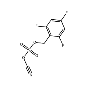 N#COS(=O)(=O)OCc1c(F)cc(F)cc1F